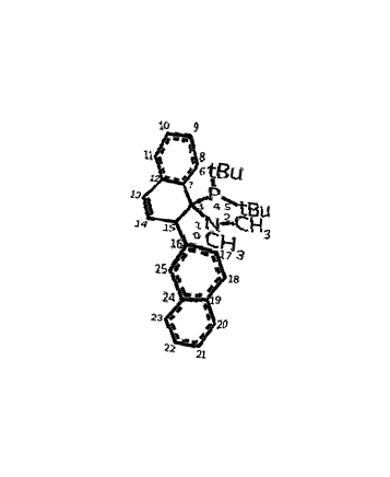 CN(C)C1(P(C(C)(C)C)C(C)(C)C)c2ccccc2C=CC1c1ccc2ccccc2c1